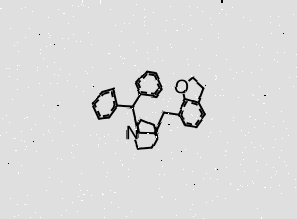 c1ccc(C(c2ccccc2)C2C(Cc3cccc4c3OCC4)C3CCN2CC3)cc1